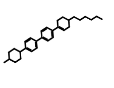 CCCCCCC1CC=C(c2ccc(-c3ccc(C4CCC(C)CC4)cc3)cc2)CC1